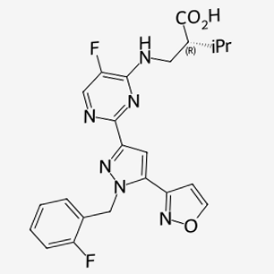 CC(C)[C@H](CNc1nc(-c2cc(-c3ccon3)n(Cc3ccccc3F)n2)ncc1F)C(=O)O